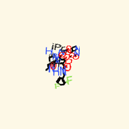 CC1=NO[C@@]2(CC[C@H](C)N3C[C@H]2n2cc(C(=O)NCc4ccc(F)cc4F)c(=O)c(OCOC(=O)N(C)c4ncccc4COC(=O)[C@@H](N)C(C)C)c2C3=O)C1